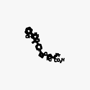 Cc1c(C2CCN(C3CCC3Oc3cc(C(C(=O)O)C(C)C)on3)CC2)sc2nnc(-c3ccccc3O)cc12